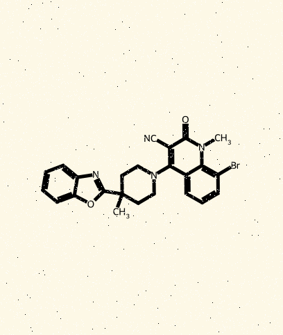 Cn1c(=O)c(C#N)c(N2CCC(C)(c3nc4ccccc4o3)CC2)c2cccc(Br)c21